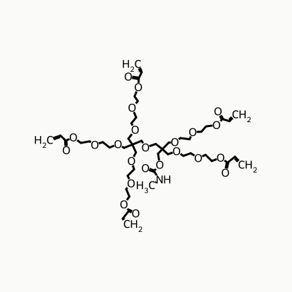 C=CC(=O)OCCOCCOCC(COCCOCCOC(=O)C=C)(COCCOCCOC(=O)C=C)COCC(COCCOCCOC(=O)C=C)(COCCOCCOC(=O)C=C)COC(=O)NC